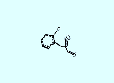 O=C(C=S)c1ccccc1Cl